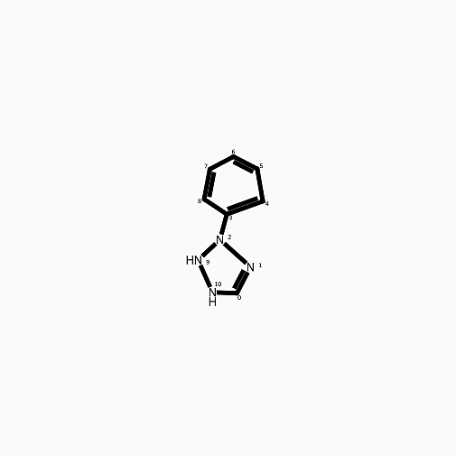 C1=NN(c2ccccc2)NN1